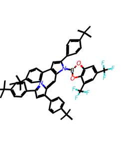 CC(C)(C)c1ccc(C2=CC(c3ccc(C(C)(C)C)cc3)=N/C2=C\c2c(-c3ccc(C(C)(C)C)cc3)cc(-c3ccc(C(C)(C)C)cc3)n2B2Oc3cc(C(F)(F)F)cc(C(F)(F)F)c3O2)cc1